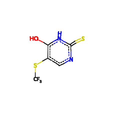 Oc1[nH]c(=S)ncc1SC(F)(F)F